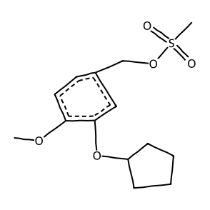 COc1ccc(COS(C)(=O)=O)cc1OC1CCCC1